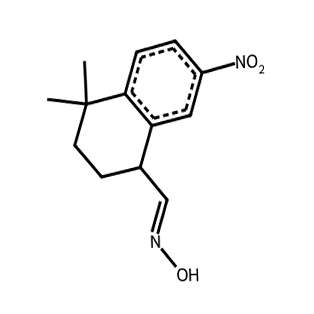 CC1(C)CCC(C=NO)c2cc([N+](=O)[O-])ccc21